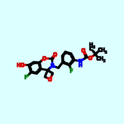 CC(C)(C)OC(=O)Nc1cccc(CN2C(=O)Oc3cc(O)c(F)cc3C23COC3)c1F